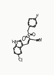 N#C/C(=C/c1c[nH]c2ccc(Cl)cc12)S(=O)(=O)Cc1ccc(F)cc1